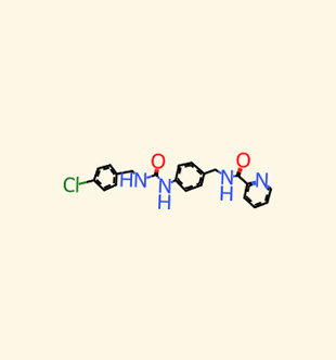 O=C(NCc1ccc(Cl)cc1)Nc1ccc(CNC(=O)c2ccccn2)cc1